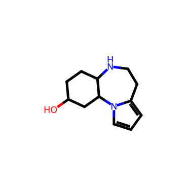 OC1CCC2NCCc3cccn3C2C1